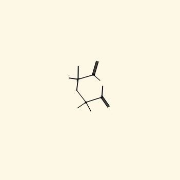 C=C1OC(=O)C(C)(CC)CC1(C)C